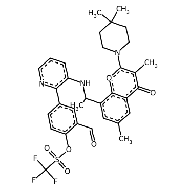 Cc1cc(C(C)Nc2cccnc2-c2ccc(OS(=O)(=O)C(F)(F)F)c(C=O)c2)c2oc(N3CCC(C)(C)CC3)c(C)c(=O)c2c1